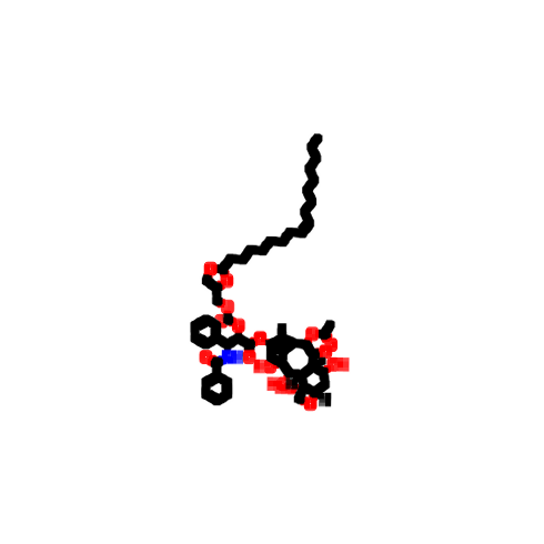 CCCCCCCC/C=C\CCCCCCCC1OCC(COC(=O)O[C@@H](C(=O)O[C@H]2C[C@@]3(O)[C@@H](O)[C@@H]4[C@]5(O)CO[C@@H]5C[C@H](O)[C@@]4(C)C(=O)[C@H](OC(C)=O)C(=C2C)C3(C)C)[C@@H](NC(=O)c2ccccc2)c2ccccc2)O1